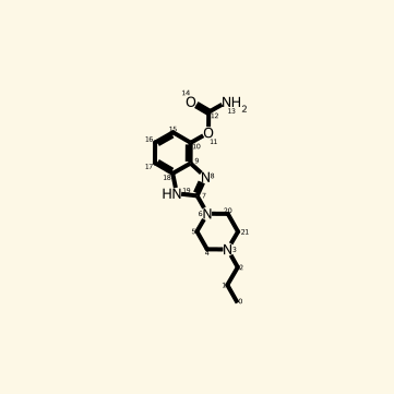 CCCN1CCN(c2nc3c(OC(N)=O)cccc3[nH]2)CC1